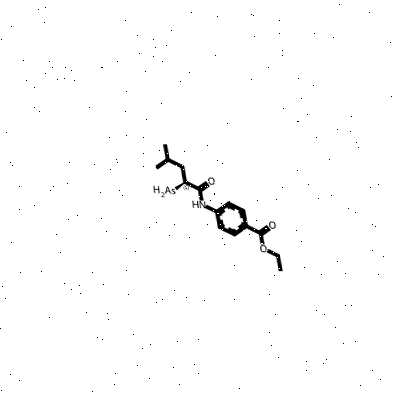 CCOC(=O)c1ccc(NC(=O)[C@@H]([AsH2])CC(C)C)cc1